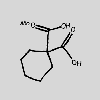 O=C(O)C1(C(=O)O)CCCCC1.[Mo]